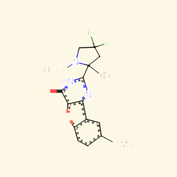 COc1ccc2oc3c(=O)[nH]c(C4(C(C)(C)C)CC(F)(F)CN4C(=O)O)nc3c2c1